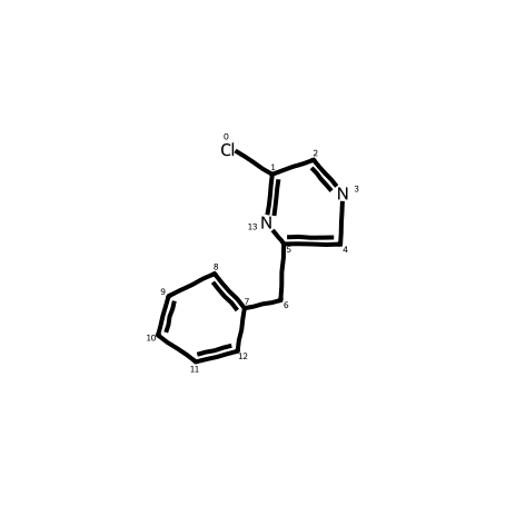 Clc1cncc(Cc2ccccc2)n1